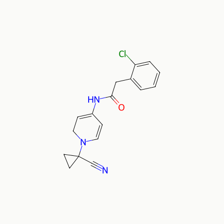 N#CC1(N2C=CC(NC(=O)Cc3ccccc3Cl)=CC2)CC1